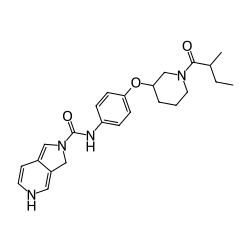 CCC(C)C(=O)N1CCCC(Oc2ccc(NC(=O)N3C=C4C=CNC=C4C3)cc2)C1